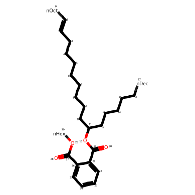 CCCCCCCCC=CCCCCCCCCC(CCCCCCCCCCCCCCC)OC(=O)c1ccccc1C(=O)OCCCCCC